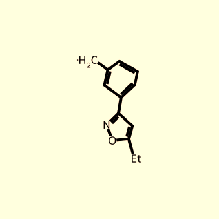 [CH2]c1cccc(-c2cc(CC)on2)c1